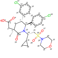 C[C@]1(CC(=O)O)C[C@H](c2cccc(Cl)c2)[C@@H](c2ccc(Cl)cc2)N([C@H](CS(=O)(=O)N2CCOCC2)C2CC2)C1=O